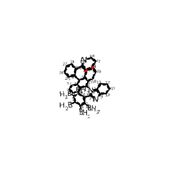 Bc1c(B)c(B)c(-c2nc3ccccc3n2-c2c3ccccc3c(-c3ccccc3-c3ccccn3)c3ccccc23)c(B)c1B